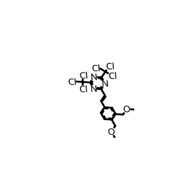 COCc1ccc(C=Cc2nc(C(Cl)(Cl)Cl)nc(C(Cl)(Cl)Cl)n2)cc1COC